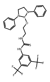 FC(F)(F)c1cc(NC(=S)NCCOP2N(c3ccccc3)CCN2c2ccccc2)cc(C(F)(F)F)c1